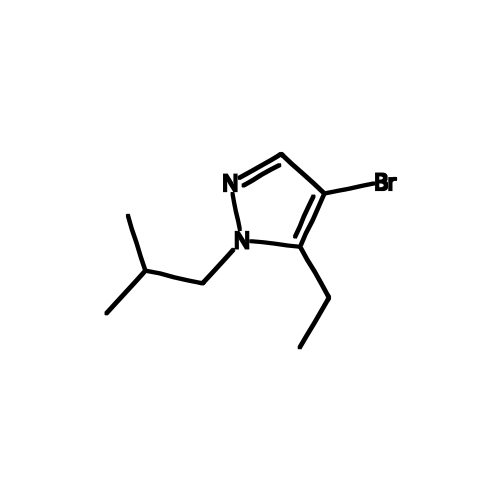 CCc1c(Br)cnn1CC(C)C